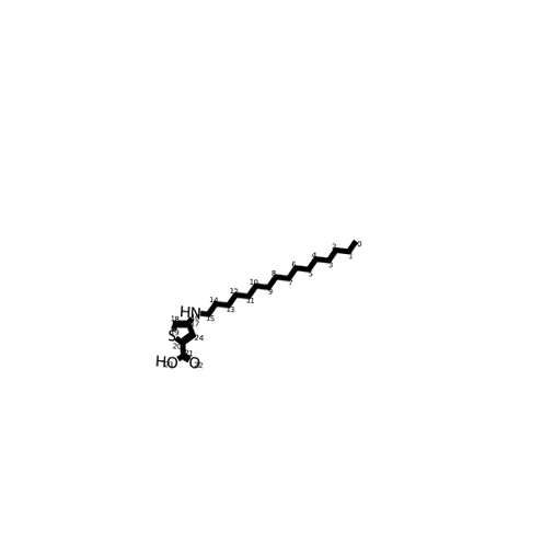 CCCCCCCCCCCCCCCCNc1csc(C(=O)O)c1